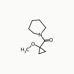 COC1(C(=O)N2CCCCC2)CC1